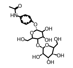 CC(=O)Nc1ccc(O[C@H]2OC(CO)C(O[C@H]3OC(CO)[C@@H](O)[C@H](O)[C@H]3O)C(O)C2O)cc1